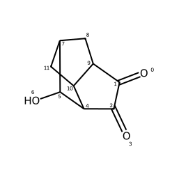 O=C1C(=O)C2C(O)C3CC1C2C3